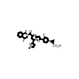 C[C@@H]1c2ccccc2[C@@H](F)CN1C(=O)c1cc(-c2ccn(C)n2)n2nc(-c3ccc([C@H]4C[C@@H]4C(=O)O)cc3F)cc2n1